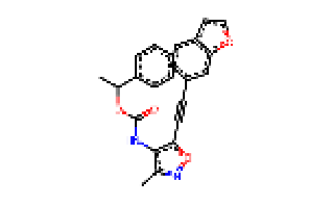 Cc1noc(C#Cc2ccc3ccoc3c2)c1NC(=O)OC(C)c1ccccc1